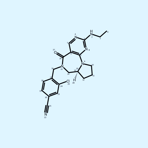 CCNc1ncc2c(n1)N1CCC[C@H]1CN(Cc1ccc(C#N)cc1Cl)C2=O